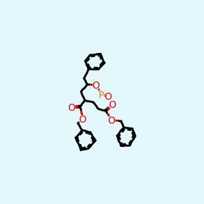 O=POC(Cc1ccccc1)CC(CCC(=O)OCc1ccccc1)C(=O)OCc1ccccc1